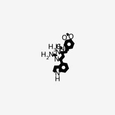 CNC1(Cc2ccc3c(c2)OCO3)C=C(c2cccc3[nH]ccc23)N=C(N)N1